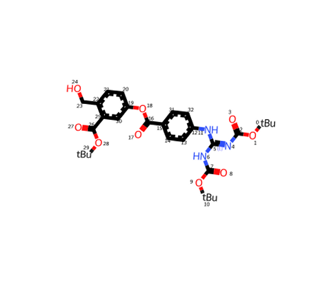 CC(C)(C)OC(=O)/N=C(/NC(=O)OC(C)(C)C)Nc1ccc(C(=O)Oc2ccc(CO)c(C(=O)OC(C)(C)C)c2)cc1